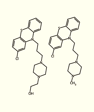 CN1CCN(CCCN2c3ccccc3Sc3ccc(Cl)cc32)CC1.OCCN1CCN(CCCN2c3ccccc3Sc3ccc(Cl)cc32)CC1